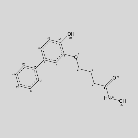 O=C(CCCOc1cc(-c2ccccc2)ccc1O)NO